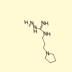 N=C(NN)NCCCN1CCCC1